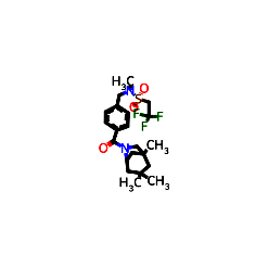 CN(Cc1ccc(C(=O)N2CC3(C)CC2CC(C)(C)C3)cc1)S(=O)(=O)CC(F)(F)F